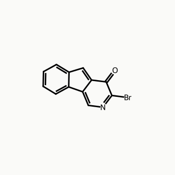 O=C1C2=Cc3ccccc3C2=CN=C1Br